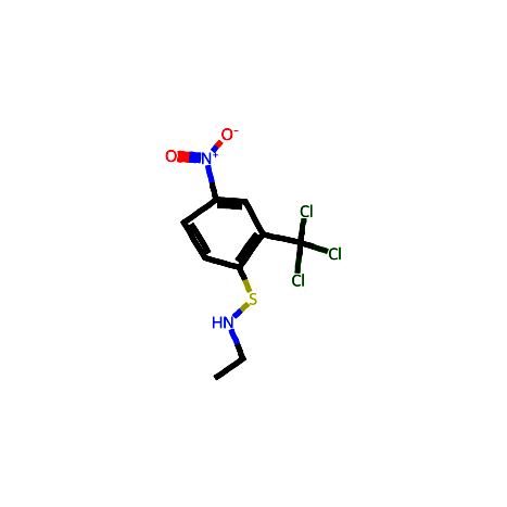 CCNSc1ccc([N+](=O)[O-])cc1C(Cl)(Cl)Cl